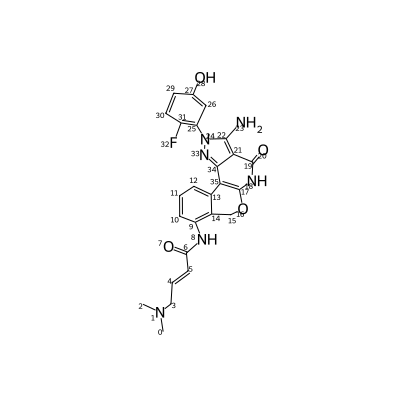 CN(C)C/C=C/C(=O)Nc1cccc2c1COc1[nH]c(=O)c3c(N)n(-c4cc(O)ccc4F)nc3c1-2